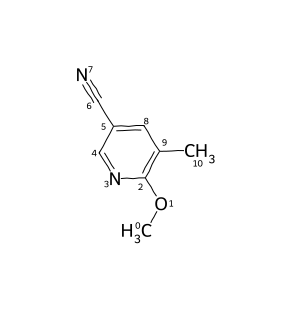 COc1ncc(C#N)cc1C